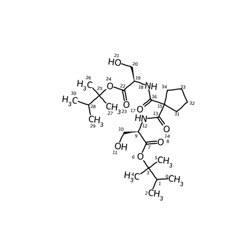 CC(C)C(C)(C)OC(=O)[C@@H](CO)NC(=O)C1(C(=O)N[C@H](CO)C(=O)OC(C)(C)C(C)C)CCCC1